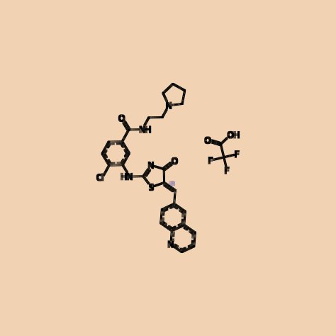 O=C(O)C(F)(F)F.O=C1N=C(Nc2cc(C(=O)NCCN3CCCC3)ccc2Cl)S/C1=C\c1ccc2ncccc2c1